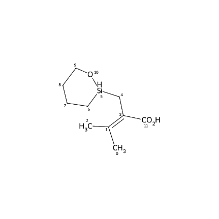 CC(C)=C(C[SiH]1CCCCO1)C(=O)O